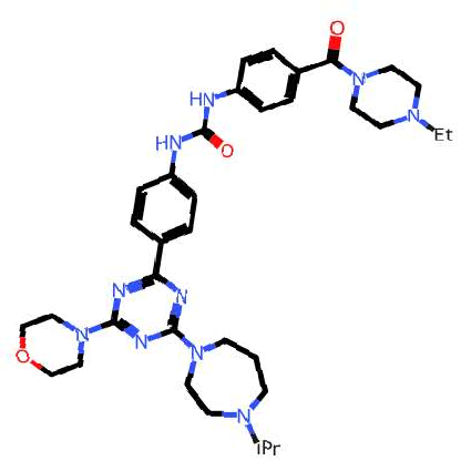 CCN1CCN(C(=O)c2ccc(NC(=O)Nc3ccc(-c4nc(N5CCOCC5)nc(N5CCCN(C(C)C)CC5)n4)cc3)cc2)CC1